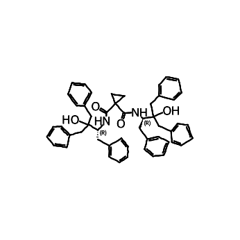 O=C(N[C@H](Cc1ccccc1)C(O)(Cc1ccccc1)Cc1ccccc1)C1(C(=O)N[C@H](Cc2ccccc2)C(O)(Cc2ccccc2)Cc2ccccc2)CC1